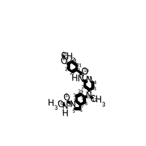 CNC(=O)n1ccc2cc(N(C)c3ccnc(NC(=O)c4ccc(OC)cc4)c3)ccc21